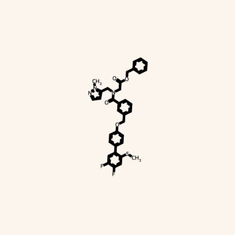 CSc1cc(F)c(F)cc1-c1ccc(OCc2cccc(C(=O)N(CC(=O)OCc3ccccc3)Cc3ccnn3C)c2)cc1